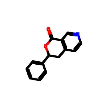 O=C1OC(c2ccccc2)Cc2ccncc21